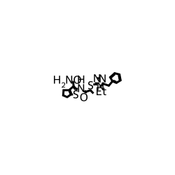 CCn1c(Cc2ccccc2)nnc1SC(C)C(=O)Nc1sc2c(c1C(N)=O)CCC2